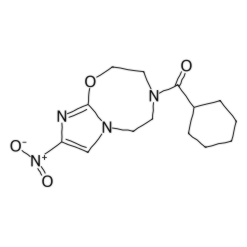 O=C(C1CCCCC1)N1CCOc2nc([N+](=O)[O-])cn2CC1